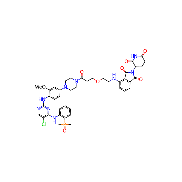 COc1cc(N2CCN(C(=O)CCOCCNc3cccc4c3C(=O)N(C3CCC(=O)NC3=O)C4=O)CC2)ccc1Nc1ncc(Cl)c(Nc2ccccc2P(C)(C)=O)n1